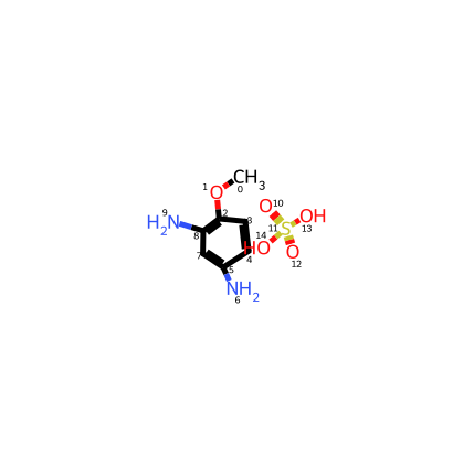 COc1ccc(N)cc1N.O=S(=O)(O)O